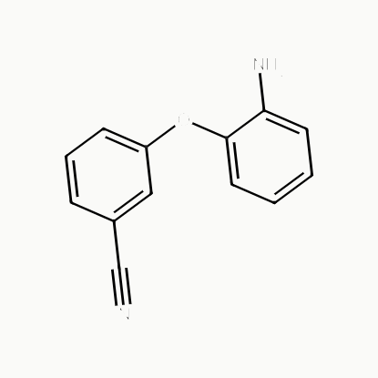 N#Cc1cccc(Oc2ccccc2N)c1